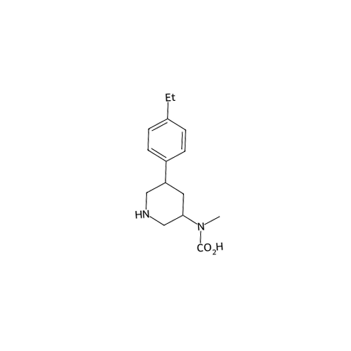 CCc1ccc(C2CNCC(N(C)C(=O)O)C2)cc1